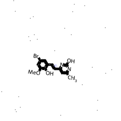 COc1cc(Br)cc(/C=C/c2cc(C)nc(O)n2)c1O